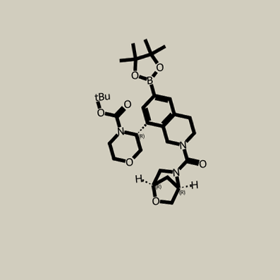 CC(C)(C)OC(=O)N1CCOC[C@H]1c1cc(B2OC(C)(C)C(C)(C)O2)cc2c1CN(C(=O)N1C[C@H]3C[C@@H]1CO3)CC2